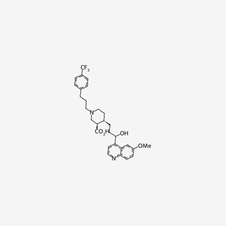 COc1ccc2nccc(C(O)CC[C@@H]3CCN(CCCc4ccc(C(F)(F)F)cc4)C[C@@H]3C(=O)O)c2c1